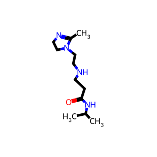 CC1=NCCN1CCNCCC(=O)NC(C)C